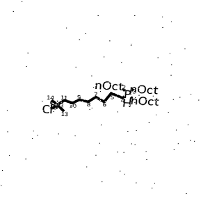 CCCCCCCC[PH](CCCCCCCC)(CCCCCCCC)CCCCCCCC[Si](C)(C)Cl